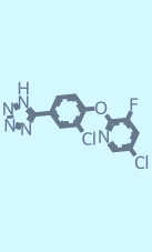 Fc1cc(Cl)cnc1Oc1ccc(-c2nnn[nH]2)cc1Cl